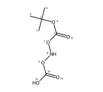 CC(C)(C)OC(=O)ONOC(=O)O